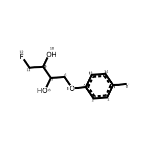 [CH2]c1ccc(OCC(O)C(O)CF)cc1